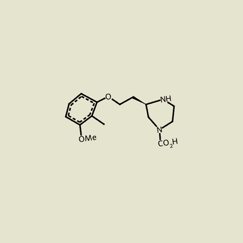 COc1cccc(OCC[C@@H]2CN(C(=O)O)CCN2)c1C